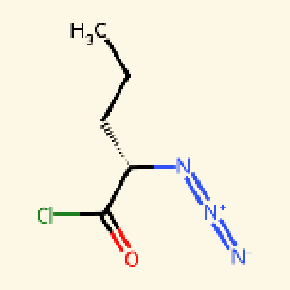 CCC[C@H](N=[N+]=[N-])C(=O)Cl